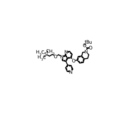 CC(C)(C)OC(=O)N1CCc2ccc(Oc3ccnc4c3c(-c3ccncc3)cn4COCC[Si](C)(C)C)cc2C1